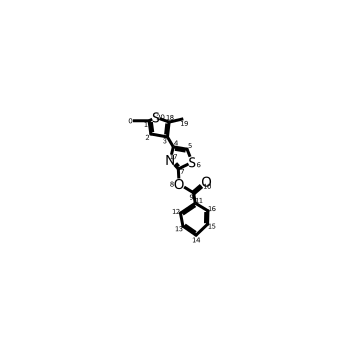 Cc1cc(-c2csc(OC(=O)c3ccccc3)n2)c(C)s1